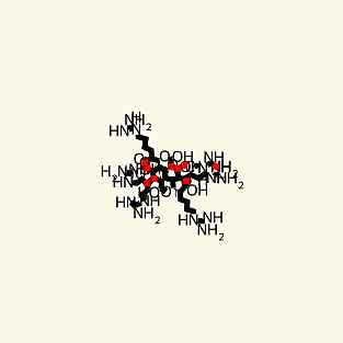 N=C(N)NCCCCC(C[C@H](C(CCCCNC(=N)N)C(=O)O)[C@@H](C(CCCCNC(=N)N)C(=O)O)[C@H](C(CCCCNC(=N)N)C(=O)O)C(C[C@@H](CCCCNC(=N)N)C(=O)O)C(CCCCNC(=N)N)C(=O)O)C(=O)O